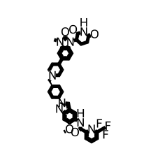 COc1cc2nn([C@H]3CC[C@H](CN4CCC(c5ccc6c(c5)n(C)c(=O)n6C5CCC(=O)NC5=O)CC4)CC3)cc2cc1NC(=O)c1cccc(C(F)(F)F)n1